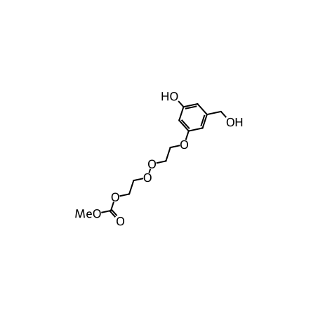 COC(=O)OCCOOCCOc1cc(O)cc(CO)c1